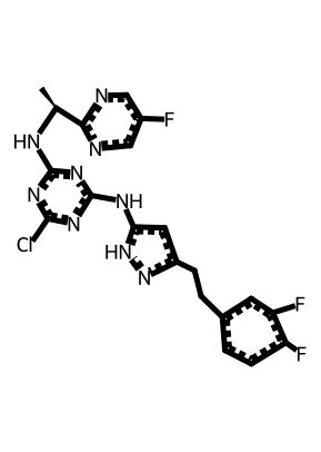 C[C@H](Nc1nc(Cl)nc(Nc2cc(CCc3ccc(F)c(F)c3)n[nH]2)n1)c1ncc(F)cn1